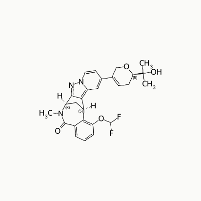 CN1C(=O)c2cccc(OC(F)F)c2[C@H]2C[C@@H]1c1nn3ccc(C4=CC[C@H](C(C)(C)O)OC4)cc3c12